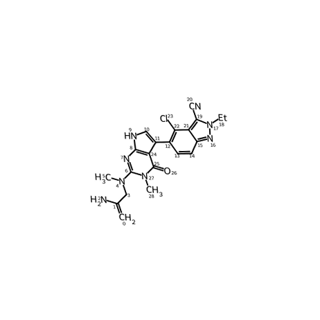 C=C(N)CN(C)c1nc2[nH]cc(-c3ccc4nn(CC)c(C#N)c4c3Cl)c2c(=O)n1C